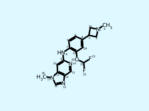 CN1CC(c2ccc(Nc3cc4c(cn3)ncn4C)c(OC(F)F)c2)C1